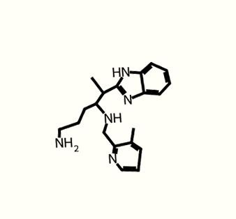 Cc1cccnc1CNC(CCCN)C(C)c1nc2ccccc2[nH]1